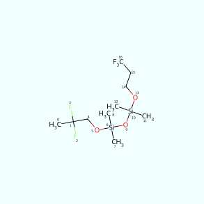 CC(F)(F)CO[Si](C)(C)O[Si](C)(C)OCCC(F)(F)F